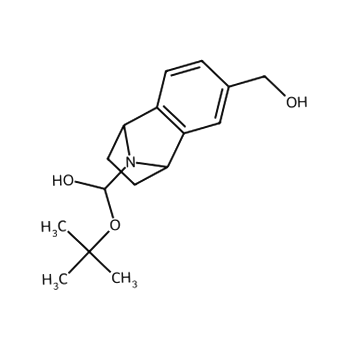 CC(C)(C)OC(O)N1C2CCC1c1cc(CO)ccc12